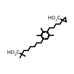 Cc1cc(CCCCCCC(C)(C)C(=O)O)c(C)c(C)c1CCCCC1(C(=O)O)CC1